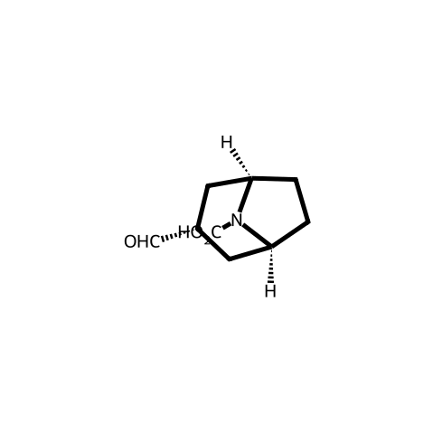 O=C[C@@H]1C[C@H]2CC[C@@H](C1)N2C(=O)O